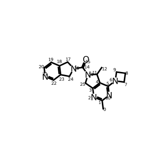 Cc1nc2c(c(N3CCC3)n1)C(C)N(C(=O)N1Cc3ccncc3C1)C2